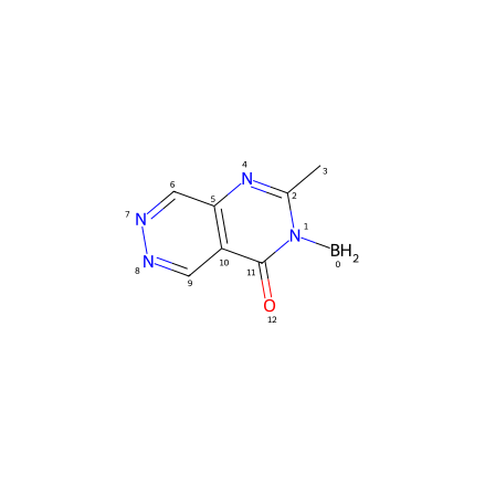 Bn1c(C)nc2cnncc2c1=O